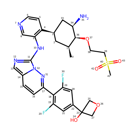 C[C@H]1C[C@@H](c2ccncc2Nc2ncc3ccc(-c4c(F)cc(C5(O)COC5)cc4F)nn23)C[C@@H](N)[C@H]1OCCS(C)(=O)=O